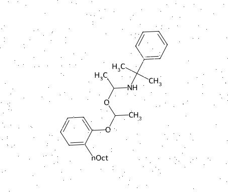 CCCCCCCCc1ccccc1OC(C)OC(C)NC(C)(C)c1ccccc1